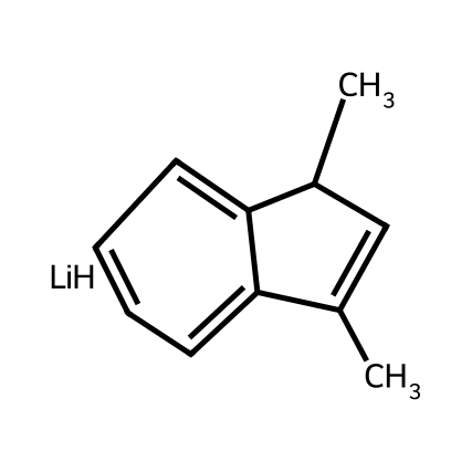 CC1=CC(C)c2ccccc21.[LiH]